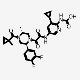 C[C@@H]1CN(C(=O)C(=O)Nc2cnc(NC(=O)O)c(C3CC3)c2)[C@@H](c2ccc(F)c(F)c2)CN1C(=O)C1(C)CC1